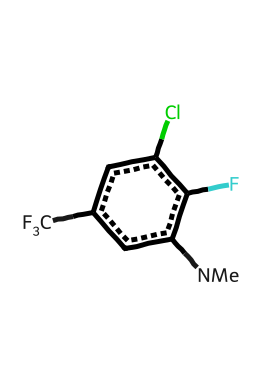 CNc1cc(C(F)(F)F)cc(Cl)c1F